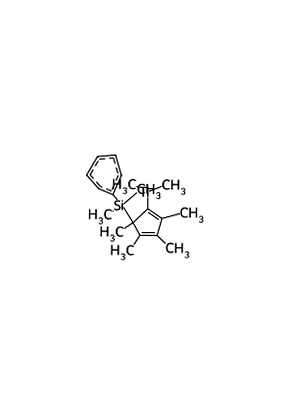 CC1=C(C)C(C)([Si](C)(C)c2ccccc2)[C]([Ti]([CH3])[CH3])=C1C